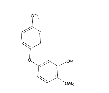 COc1ccc(Oc2ccc([N+](=O)[O-])cc2)cc1O